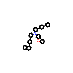 c1ccc(-c2ccc(-c3cccc(N(c4cccc(-c5ccc(-c6cccc7ccccc67)cc5)c4)c4ccc5c(c4)oc4ccccc45)c3)cc2)cc1